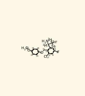 [2H]C([2H])([2H])[C@]([2H])(N)c1cc(F)cc(Cl)c1COc1ccc(OC)cc1